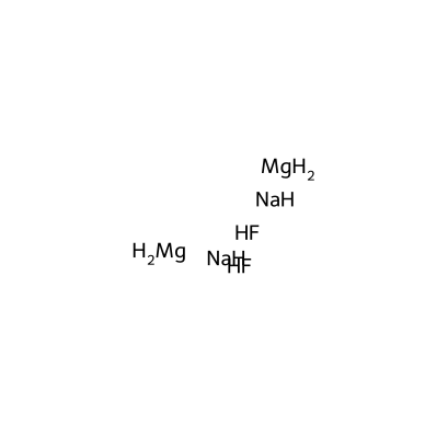 F.F.[MgH2].[MgH2].[NaH].[NaH]